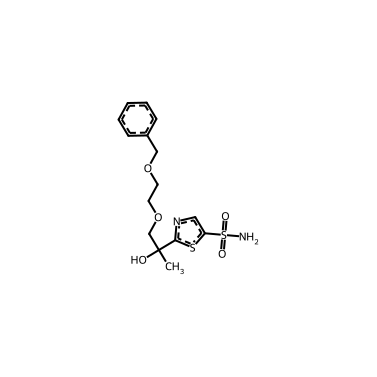 CC(O)(COCCOCc1ccccc1)c1ncc(S(N)(=O)=O)s1